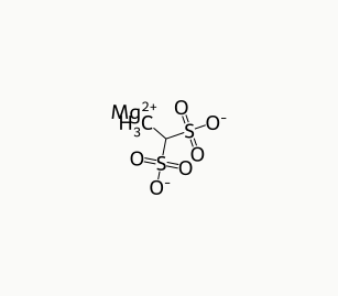 CC(S(=O)(=O)[O-])S(=O)(=O)[O-].[Mg+2]